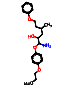 COCCOc1ccc(OC(N)C(O)CC(C)CCOc2ccccc2)cc1